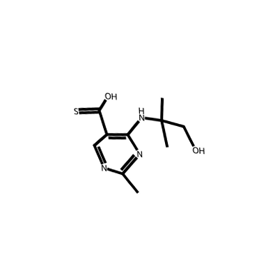 Cc1ncc(C(O)=S)c(NC(C)(C)CO)n1